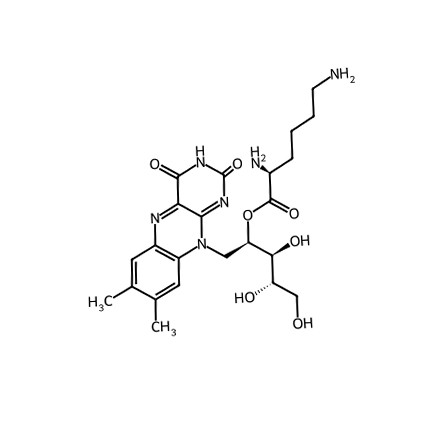 Cc1cc2nc3c(=O)[nH]c(=O)nc-3n(C[C@@H](OC(=O)[C@@H](N)CCCCN)[C@@H](O)[C@@H](O)CO)c2cc1C